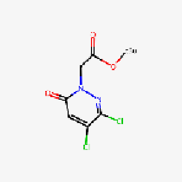 CC(C)(C)OC(=O)Cn1nc(Cl)c(Cl)cc1=O